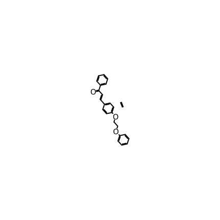 C=C.O=C(C=Cc1ccc(OCCOc2ccccc2)cc1)c1ccccc1